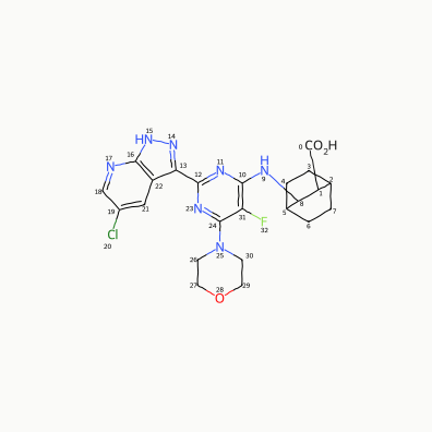 O=C(O)C1C2CCC(CC2)C1Nc1nc(-c2n[nH]c3ncc(Cl)cc23)nc(N2CCOCC2)c1F